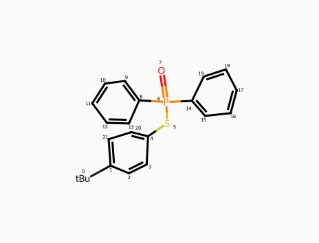 CC(C)(C)c1ccc(SP(=O)(c2ccccc2)c2ccccc2)cc1